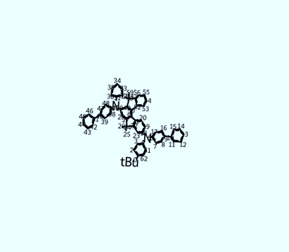 CC(C)(C)c1ccc(N(c2ccc(-c3ccccc3)cc2)c2ccc3c(c2)C(C)(C)c2cc(N(c4ccccc4)c4ccc(-c5ccccc5)cc4)c4c(c2-3)-c2ccccc2C4(C)C)cc1